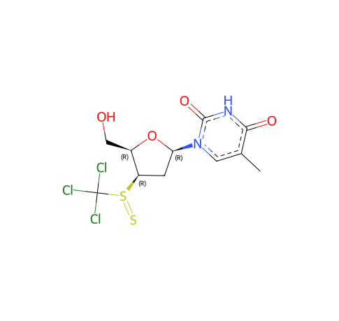 Cc1cn([C@H]2C[C@@H](S(=S)C(Cl)(Cl)Cl)[C@@H](CO)O2)c(=O)[nH]c1=O